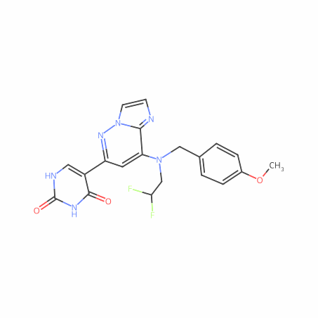 COc1ccc(CN(CC(F)F)c2cc(-c3c[nH]c(=O)[nH]c3=O)nn3ccnc23)cc1